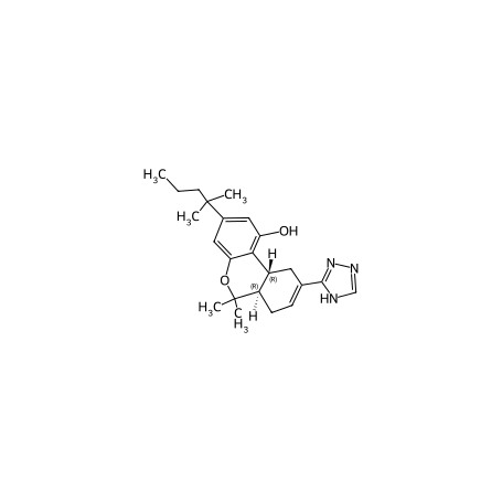 CCCC(C)(C)c1cc(O)c2c(c1)OC(C)(C)[C@@H]1CC=C(c3nnc[nH]3)C[C@@H]21